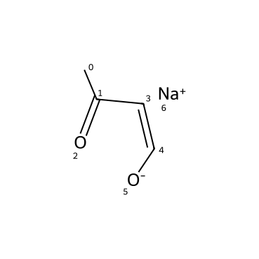 CC(=O)/C=C\[O-].[Na+]